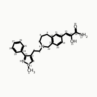 Cn1cc(CCN2CCCc3cc(/C=C(\O)C(N)=O)ccc3C2)c(-c2ccccc2)n1